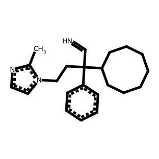 Cc1nccn1CCC(C=N)(c1ccccc1)C1CCCCCCC1